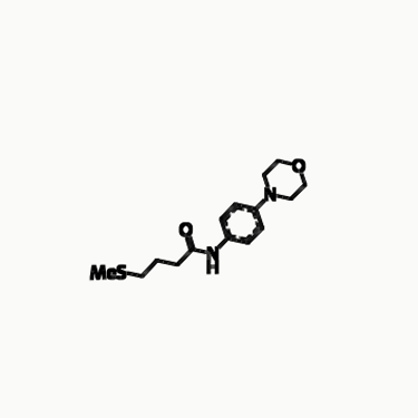 CSCCCC(=O)Nc1ccc(N2CCOCC2)cc1